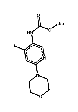 CC(C)(C)OC(=O)Nc1cnc(N2CCOCC2)cc1I